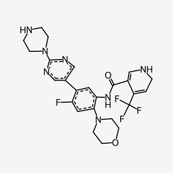 O=C(Nc1cc(-c2cnc(N3CCNCC3)nc2)c(F)cc1N1CCOCC1)C1=CNCC=C1C(F)(F)F